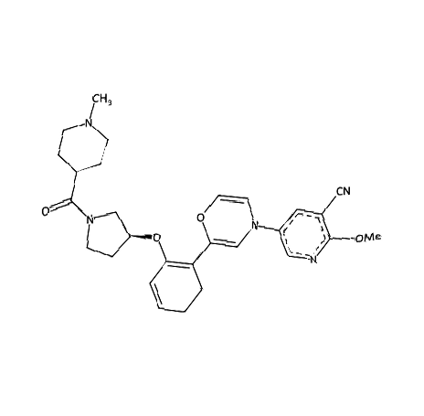 COc1ncc(N2C=COC(C3=C(O[C@H]4CCN(C(=O)C5CCN(C)CC5)C4)C=CCC3)=C2)cc1C#N